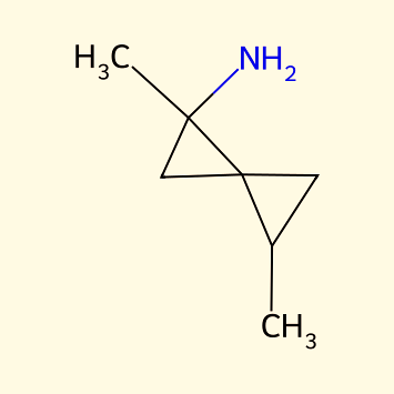 CC1CC12CC2(C)N